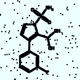 NS(=O)(=O)n1ccc(-c2cccc(F)c2)c1C(O)O